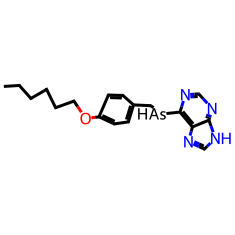 CCCCCCOc1ccc(C[AsH]c2ncnc3[nH]cnc23)cc1